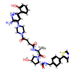 Cc1ncsc1-c1ccc(CNC(=O)[C@@H]2C[C@@H](O)CN2C(=O)[C@@H](NC(=O)CCC(=O)N2CCN(c3cc(-c4ccccc4O)nnc3N)CC2)C(C)(C)C)cc1